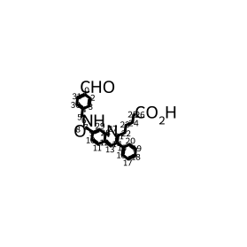 O=Cc1ccc(CNC(=O)c2ccc3cc(-c4ccccc4)c(CCCCC(=O)O)nc3c2)cc1